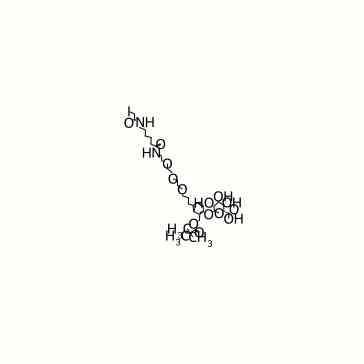 CC(C)(C)C(=O)OCc1cc(CCCOCCOCCOCCNC(=O)CCCCCNC(=O)CI)ccc1O[C@@H]1O[C@H](C(=O)O)[C@@H](O)[C@H](O)[C@H]1O